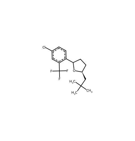 CC(C)(C)C[C@@H]1CCC(c2ccc(Cl)cc2C(F)(F)F)O1